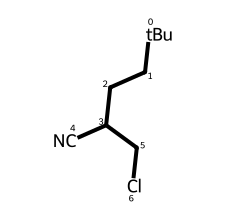 CC(C)(C)CCC(C#N)CCl